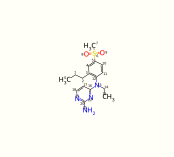 CCCc1cc(S(C)(=O)=O)ccc1N(CC)c1ccnc(N)n1